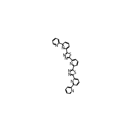 c1ccc(-c2cccc(-c3nnc(-c4cccc(-c5nnc(-c6cccc(-c7ccccn7)n6)s5)n4)s3)n2)nc1